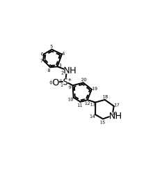 [O-][S+](Nc1ccccc1)c1ccc(C2CCNCC2)cc1